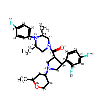 CC1CC(N2CC(C(=O)N3C[C@@H](C)N(c4ccc(F)cc4)[C@@H](C)C3)C(c3ccc(F)cc3F)C2)CCO1